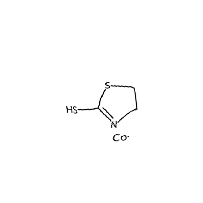 SC1=NCCS1.[Co]